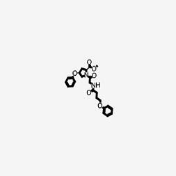 COC(=O)[C@@H]1C[C@@H](Oc2ccccc2)CN1C(=O)CNC(=O)CCCOc1ccccc1